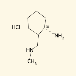 CNCC1CCCC[C@@H]1N.Cl